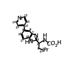 CC(C)CC(NC(=O)O)c1nc2cc(-c3ccncc3)ccc2[nH]1